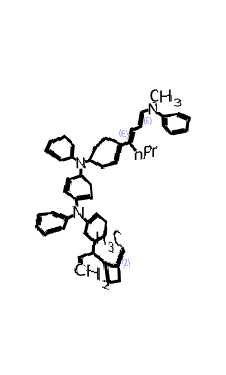 C=CC(C1CCC=C(N(C2=CCC(N(C3=CCCC=C3)C3CC=C(/C(=C/C=C/N(C)c4ccccc4)CCC)CC3)C=C2)c2ccccc2)C1)C1CC/C1=C/C